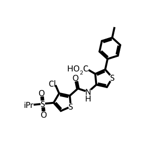 Cc1ccc(-c2scc(NC(=O)c3scc(S(=O)(=O)C(C)C)c3Cl)c2C(=O)O)cc1